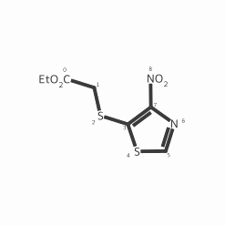 CCOC(=O)CSc1scnc1[N+](=O)[O-]